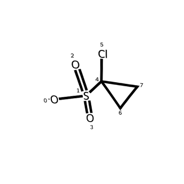 [O]S(=O)(=O)C1(Cl)CC1